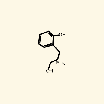 C[C@H](CO)Cc1ccccc1O